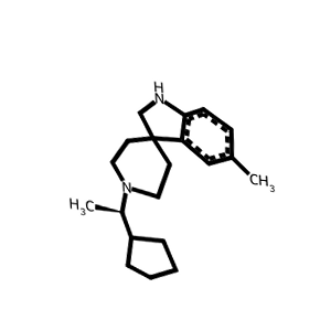 Cc1ccc2c(c1)C1(CCN([C@H](C)C3CCCC3)CC1)CN2